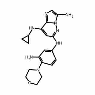 Nc1cc(Nc2cc(NC3CC3)c3ncc(N)n3n2)ccc1N1CCOCC1